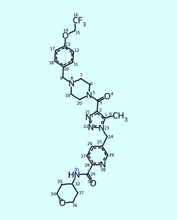 Cc1c(C(=O)N2CCN(Cc3ccc(OCC(F)(F)F)cc3)CC2)nnn1Cc1ccc(C(=O)NC2CCOCC2)nc1